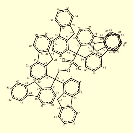 O=S(=O)(OCC(c1cccc2c1Cc1ccccc1-2)(c1cccc2c1Cc1ccccc1-2)c1cccc2c1Cc1ccccc1-2)C(c1cccc2c1Cc1ccccc1-2)(c1cccc2c1Cc1ccccc1-2)c1cccc2c1Cc1ccccc1-2